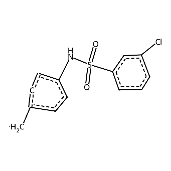 [CH2]c1ccc(NS(=O)(=O)c2cccc(Cl)c2)cc1